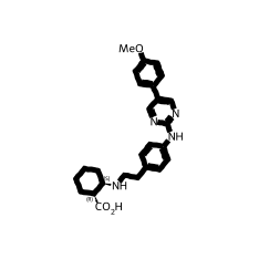 COc1ccc(-c2cnc(Nc3ccc(CCN[C@H]4CCCC[C@H]4C(=O)O)cc3)nc2)cc1